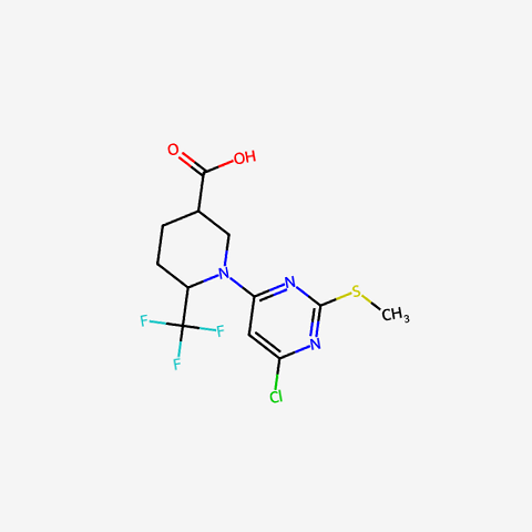 CSc1nc(Cl)cc(N2CC(C(=O)O)CCC2C(F)(F)F)n1